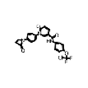 O=C(Nc1ccc(OC(F)(F)Cl)cc1)c1ccc(=O)n(-c2ccc(N3CCC3=O)cc2)c1